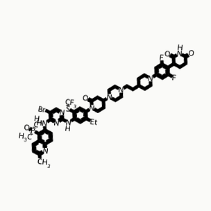 CCc1cc(Nc2ncc(Br)c(Nc3ccc4nc(C)ccc4c3P(C)(C)=O)n2)c(SC(F)(F)F)cc1N1CCC(N2CCN(CCC3CCN(c4cc(F)c(C5CCC(=O)NC5=O)c(F)c4)CC3)CC2)CC1=O